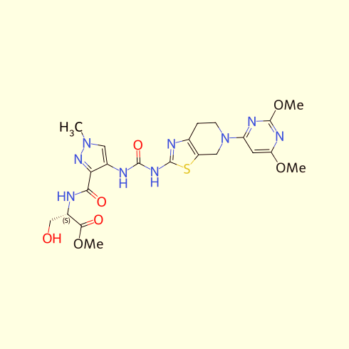 COC(=O)[C@H](CO)NC(=O)c1nn(C)cc1NC(=O)Nc1nc2c(s1)CN(c1cc(OC)nc(OC)n1)CC2